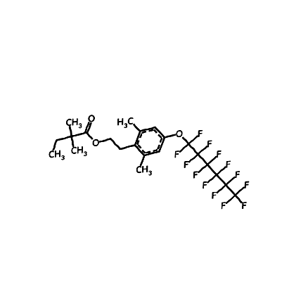 CCC(C)(C)C(=O)OCCc1c(C)cc(OC(F)(F)C(F)(F)C(F)(F)C(F)(F)C(F)(F)C(F)(F)F)cc1C